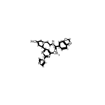 Cc1cc(C2CC(O)CN2CCNC(=O)c2ccc3c(c2)OCO3)nc(-n2ccnc2)n1